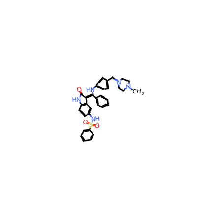 CN1CCN(Cc2ccc(N/C(=C3\C(=O)Nc4ccc(NS(=O)(=O)c5ccccc5)cc43)c3ccccc3)cc2)CC1